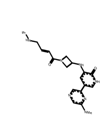 CNc1cncc(-c2c[nH]c(=O)c(NC3CN(C(=O)/C=C/CNC(C)C)C3)c2)n1